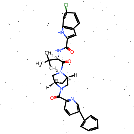 CC(C)(C)[C@H](NC(=O)c1cc2ccc(Cl)cc2[nH]1)C(=O)N1C[C@@H]2C[C@H]1CN2C(=O)c1ccc(-c2ccccc2)cn1